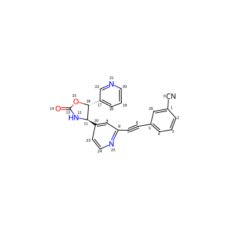 N#Cc1cccc(C#Cc2cc([C@H]3NC(=O)O[C@@H]3c3cccnc3)ccn2)c1